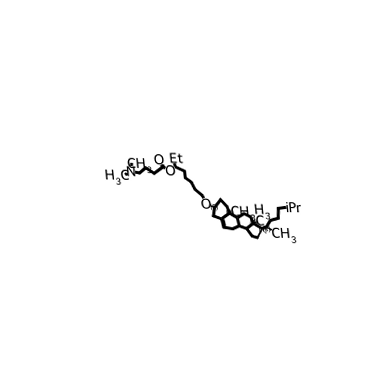 CCC(CCCCCO[C@H]1CC[C@@]2(C)C(=CCC3C2CC[C@@]2(C)C3CC[C@@H]2[C@H](C)CCCC(C)C)C1)OC(=O)CCCN(C)C